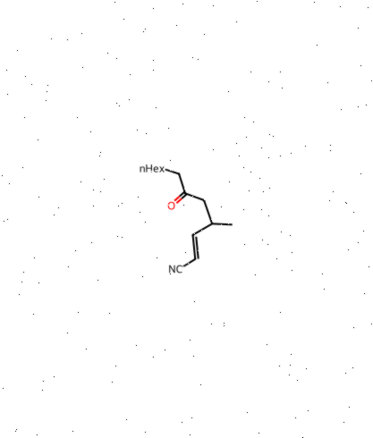 CCCCCCCC(=O)CC(C)C=CC#N